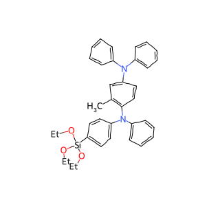 CCO[Si](OCC)(OCC)c1ccc(N(c2ccccc2)c2ccc(N(c3ccccc3)c3ccccc3)cc2C)cc1